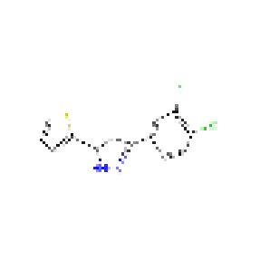 Clc1ccc(C2=NNC(c3cccs3)C2)cc1Cl